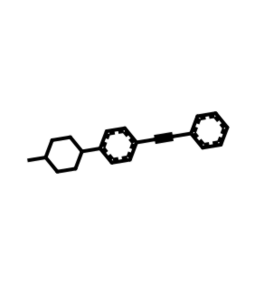 CC1CCC(c2ccc(C#Cc3ccccc3)cc2)CC1